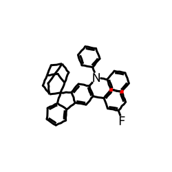 Fc1cccc(-c2cc3c(cc2N(c2ccccc2)c2ccccc2)C2(c4ccccc4-3)C3CC4CC(C3)CC2C4)c1